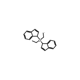 [CH2][CH2][Zr]([CH2]C)([CH]1C=Cc2ccccc21)[CH]1C=Cc2ccccc21